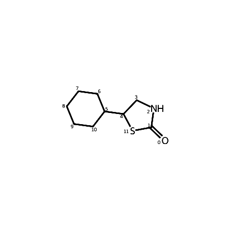 O=C1NCC(C2CCCCC2)S1